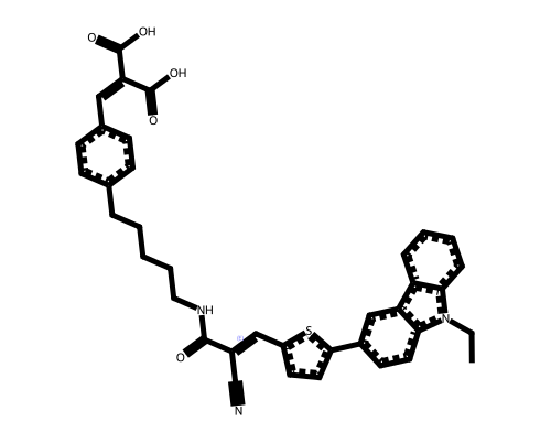 CCn1c2ccccc2c2cc(-c3ccc(/C=C(\C#N)C(=O)NCCCCCc4ccc(C=C(C(=O)O)C(=O)O)cc4)s3)ccc21